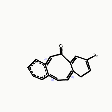 O=C1/C=c2/cccc/c2=C/C=C2/CC=C(Br)C=C12